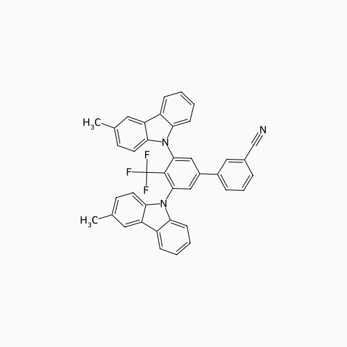 Cc1ccc2c(c1)c1ccccc1n2-c1cc(-c2cccc(C#N)c2)cc(-n2c3ccccc3c3cc(C)ccc32)c1C(F)(F)F